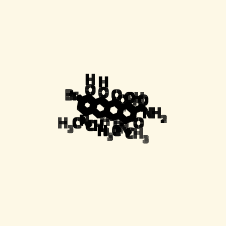 CN(C)c1cc(Br)c(O)c2c1C[C@H]1C[C@H]3[C@H](N(C)C)C(=O)C(C(N)=O)=C(O)[C@@]3(O)C(=O)C1=C2O